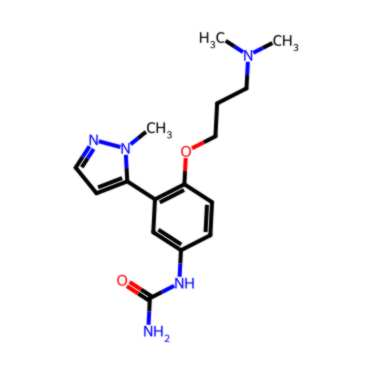 CN(C)CCCOc1ccc(NC(N)=O)cc1-c1ccnn1C